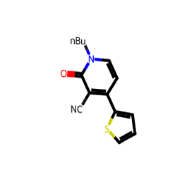 CCCCn1ccc(-c2cccs2)c(C#N)c1=O